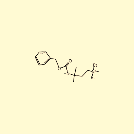 CC[N+](C)(CC)CCC(C)(C)NC(=O)OCc1ccccc1